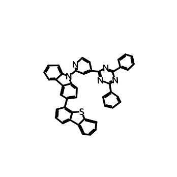 c1ccc(-c2nc(-c3ccccc3)nc(-c3ccnc(-n4c5ccccc5c5cc(-c6cccc7c6sc6ccccc67)ccc54)c3)n2)cc1